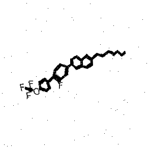 CCCCCCCc1ccc2cc(-c3ccc(-c4ccc(OC(F)(F)F)cc4)c(F)c3)ccc2c1